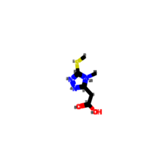 CSc1nnc(CC(=O)O)n1C